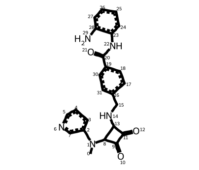 CN(c1cccnc1)C1C(=O)C(=O)C1NCc1ccc(C(=O)Nc2ccccc2N)cc1